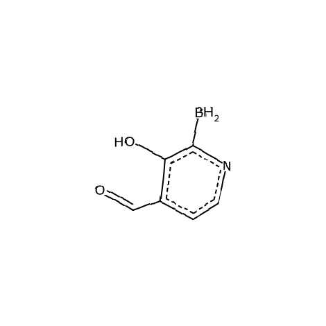 Bc1nccc(C=O)c1O